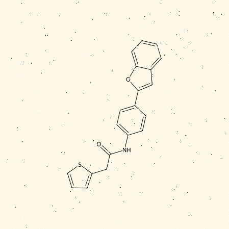 O=C(Cc1cccs1)Nc1ccc(-c2cc3ccccc3o2)cc1